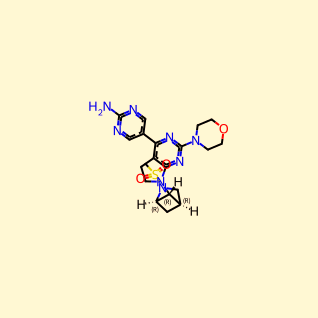 CS(=O)(=O)N1C[C@H]2C[C@@H]1[C@@H]2N1CCc2c(-c3cnc(N)nc3)nc(N3CCOCC3)nc21